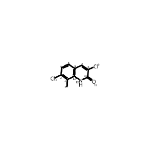 Cc1c(Cl)ccc2cc(Cl)c(=O)[nH]c12